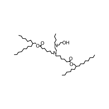 CCCCCCCCC(CCCCCC)COC(=O)CCCCCN(CCCCCC(=O)OCC(CCCCCC)CCCCCCCC)CCN(CCO)CCCC